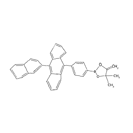 C=C1OB(c2ccc(-c3c4ccccc4c(-c4ccc5ccccc5c4)c4ccccc34)cc2)OC1(C)C